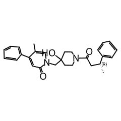 Cc1cn(CC2(O)CCN(C(=O)C[C@@H](C)c3ccccc3)CC2)c(=O)cc1-c1ccccc1